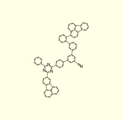 N#Cc1cc(-c2ccc(-c3nc(-c4ccccc4)nc(-c4ccc5c(c4)-c4cccc6cccc-5c46)n3)cc2)cc(-c2cccc(-c3ccccc3-c3ccc4c5c(cccc35)-c3ccccc3-4)c2)c1